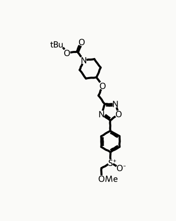 COC[S+]([O-])c1ccc(-c2nc(COC3CCN(C(=O)OC(C)(C)C)CC3)no2)cc1